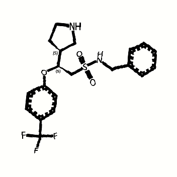 O=S(=O)(C[C@@H](Oc1ccc(C(F)(F)F)cc1)[C@H]1CCNC1)NCc1ccccc1